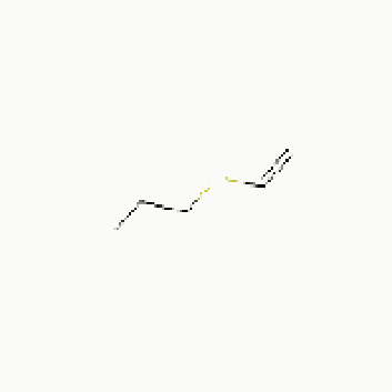 C=CSCCCC